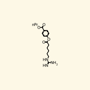 CCCOC(=O)c1ccc(OC(=O)CCCCCNC(=N)N)cc1